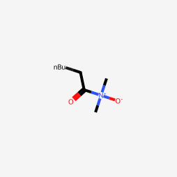 CCCCCC(=O)[N+](C)(C)[O-]